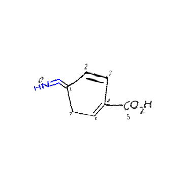 N=C1C=CC(C(=O)O)=CC1